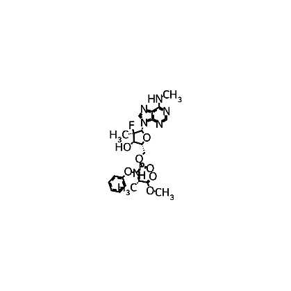 CNc1ncnc2c1ncn2[C@@H]1O[C@H](CO[PH](=O)N(Oc2ccccc2)[C@@H](C)C(=O)OC)[C@@H](O)[C@@]1(C)F